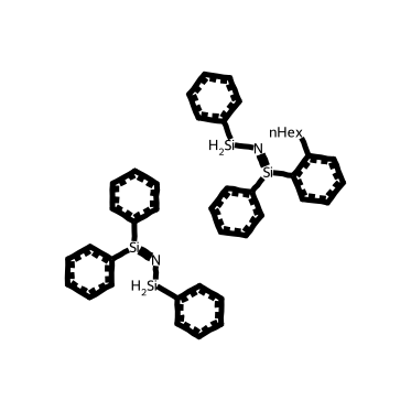 CCCCCCc1ccccc1[Si](=N[SiH2]c1ccccc1)c1ccccc1.c1ccc([SiH2]N=[Si](c2ccccc2)c2ccccc2)cc1